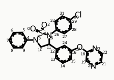 O=S1(=O)N(c2ccccc2)CC(c2cccc(Oc3cnccn3)c2)N1c1ccc(Cl)cc1